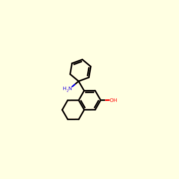 NC1(c2cc(O)cc3c2CCCC3)C=CC=CC1